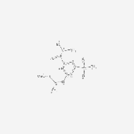 CCN(N)C(=O)c1cc(S(C)(=O)=O)nc(O[C@H](C)COC)n1